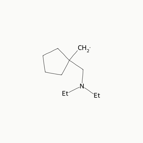 [CH2]C1(CN(CC)CC)CCCC1